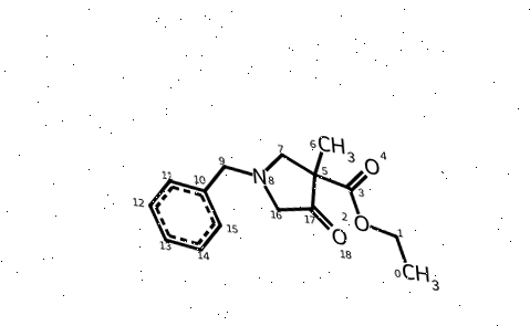 CCOC(=O)C1(C)CN(Cc2ccccc2)CC1=O